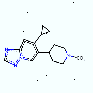 O=C(O)N1CCC(c2cn3ncnc3cc2C2CC2)CC1